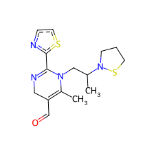 CC1=C(C=O)CN=C(c2nccs2)N1CC(C)N1CCCS1